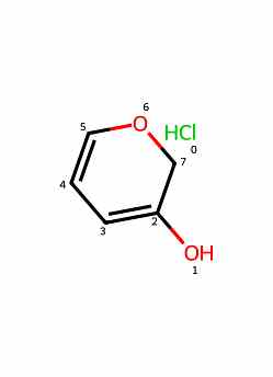 Cl.OC1=CC=COC1